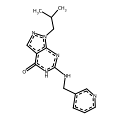 CC(C)Cn1ncc2c(=O)[nH]c(NCc3cccnc3)nc21